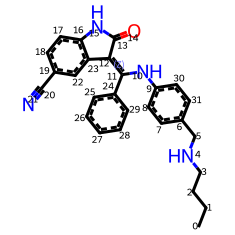 CCCCNCc1ccc(N/C(=C2\C(=O)Nc3ccc(C#N)cc32)c2ccccc2)cc1